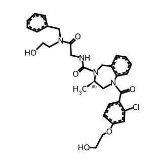 C[C@@H]1CN(C(=O)c2ccc(OCCO)cc2Cl)c2ccccc2CN1C(=O)NCC(=O)N(CCO)Cc1ccccc1